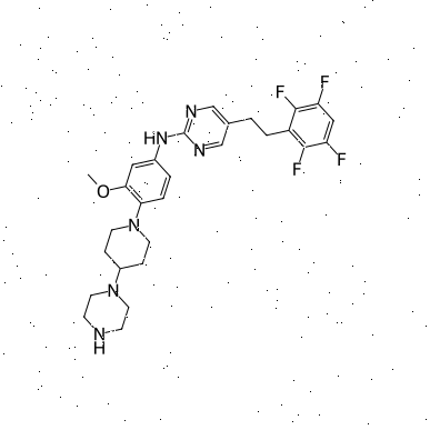 COc1cc(Nc2ncc(CCc3c(F)c(F)cc(F)c3F)cn2)ccc1N1CCC(N2CCNCC2)CC1